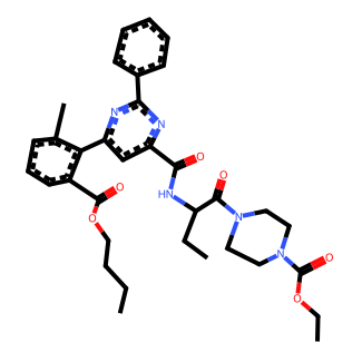 CCCCOC(=O)c1cccc(C)c1-c1cc(C(=O)NC(CC)C(=O)N2CCN(C(=O)OCC)CC2)nc(-c2ccccc2)n1